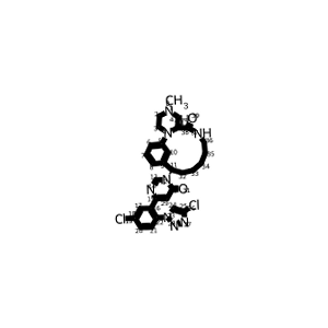 CN1CCN2c3cccc(c3)[C@@H](n3cnc(-c4cc(Cl)ccc4-n4cc(Cl)nn4)cc3=O)CCCCCNC(=O)[C@H]2C1